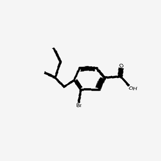 CCC(C)Cc1ccc(C(=O)O)cc1Br